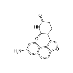 Nc1ccc2c(ccc3occ(C4CCC(=O)NC4=O)c32)c1